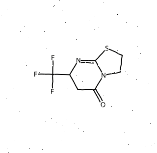 O=C1CC(C(F)(F)F)N=C2SCCN12